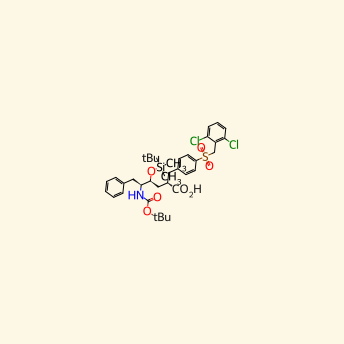 CC(C)(C)OC(=O)N[C@@H](Cc1ccccc1)[C@H](C[C@@H](Cc1ccc(S(=O)(=O)Cc2c(Cl)cccc2Cl)cc1)C(=O)O)O[Si](C)(C)C(C)(C)C